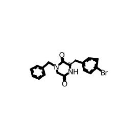 O=C1CN(Cc2ccccc2)C(=O)[C@@H](Cc2ccc(Br)cc2)N1